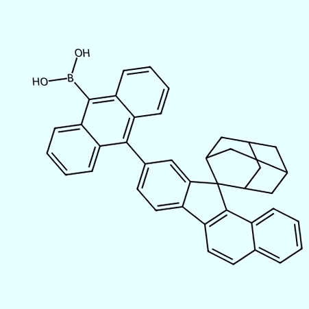 OB(O)c1c2ccccc2c(-c2ccc3c(c2)C2(c4c-3ccc3ccccc43)C3CC4CC(C3)CC2C4)c2ccccc12